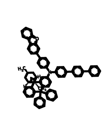 C[C@H]1C[C@@H]2C[C@@H](C)C[C@H](C1)C21c2ccccc2C(c2ccccc2)(c2ccccc2)c2ccc(N(c3ccc(-c4ccc(-c5ccccc5)cc4)cc3)c3ccc(-c4ccc5c(c4)oc4ccccc45)cc3)cc21